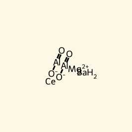 [BaH2].[Ce].[Mg+2].[O]=[Al][O-].[O]=[Al][O-]